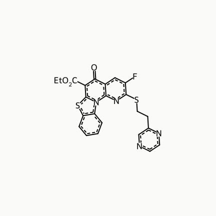 CCOC(=O)c1c(=O)c2cc(F)c(SCCc3cnccn3)nc2n2c1sc1ccccc12